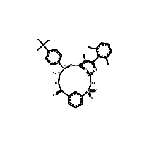 Cc1cccc(C)c1-c1nc2nc(c1F)O[C@H](c1ccc(C(C)(C)C)cc1)[C@@H](C)NC(=O)c1cccc(c1)S(=O)(=O)N2